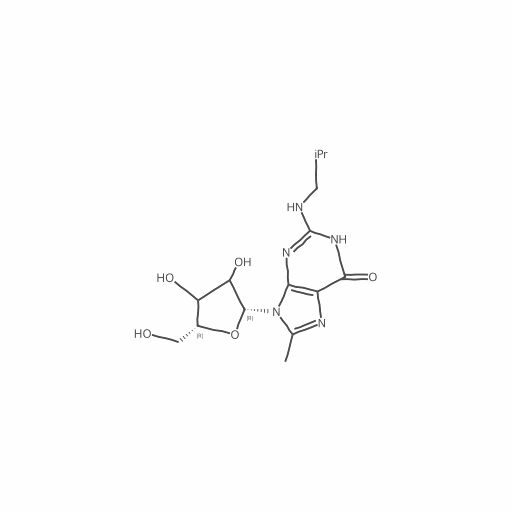 Cc1nc2c(=O)[nH]c(NCC(C)C)nc2n1[C@@H]1O[C@H](CO)C(O)C1O